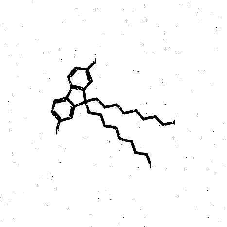 ICCCCCCCCC1(CCCCCCCCI)c2cc(I)ccc2-c2ccc(I)cc21